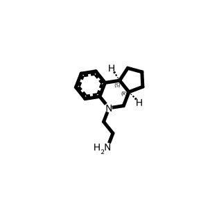 NCCN1C[C@@H]2CCC[C@@H]2c2ccccc21